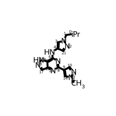 CC(C)Cn1cc(Nc2nc(-c3cnn(C)c3)nc3cn[nH]c23)cn1